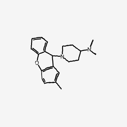 Cc1ccc2c(c1)C(N1CCC(N(C)C)CC1)c1ccccc1O2